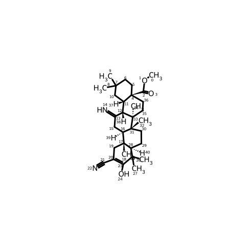 COC(=O)[C@]12CCC(C)(C)C[C@H]1[C@H]1C(=N)C[C@@H]3[C@@]4(C)CC(C#N)=C(O)C(C)(C)[C@@H]4CC[C@@]3(C)[C@]1(C)CC2